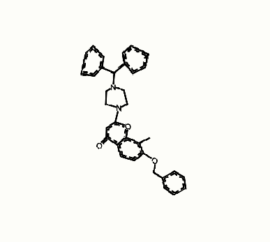 Cc1c(OCc2ccccc2)ccc2c(=O)cc(N3CCN(C(c4ccccc4)c4ccccc4)CC3)oc12